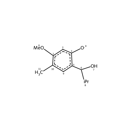 COc1cc([O])c(C(O)C(C)C)cc1C